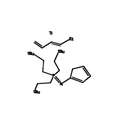 C=CC=CCC.CC(C)(C)CCP(CCC(C)(C)C)(CCC(C)(C)C)=NC1=CC=CC1.[Ti]